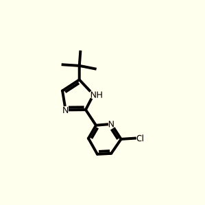 CC(C)(C)c1cnc(-c2cccc(Cl)n2)[nH]1